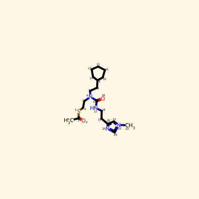 CC(=O)SCCN(CCC1CCCCC1)C(=O)NCCc1cn(C)cn1